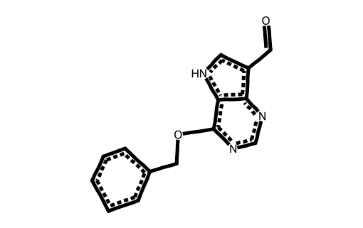 O=Cc1c[nH]c2c(OCc3ccccc3)ncnc12